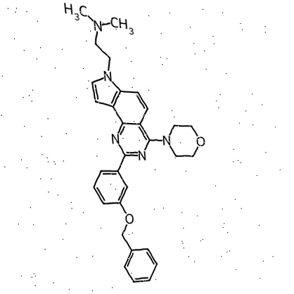 CN(C)CCn1ccc2c3nc(-c4cccc(OCc5ccccc5)c4)nc(N4CCOCC4)c3ccc21